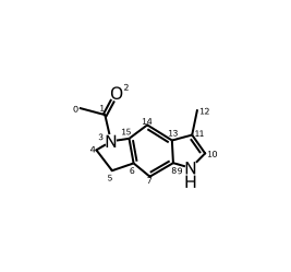 CC(=O)N1CCc2cc3[nH]cc(C)c3cc21